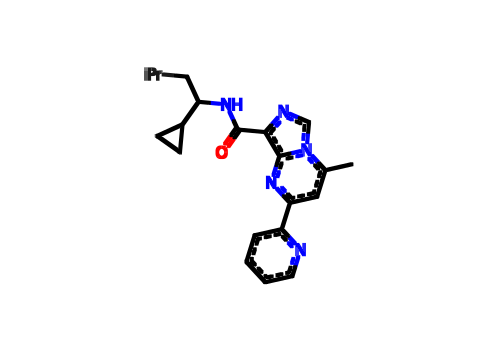 Cc1cc(-c2ccccn2)nc2c(C(=O)NC(CC(C)C)C3CC3)ncn12